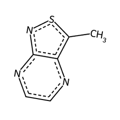 Cc1snc2nccnc12